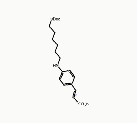 CCCCCCCCCCCCCCCCNc1ccc(/C=C/C(=O)O)cc1